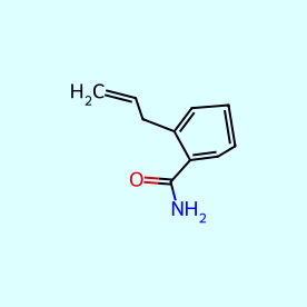 C=CCc1ccccc1C(N)=O